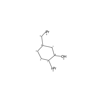 CCCC1CCC(CC(C)C)CC1O